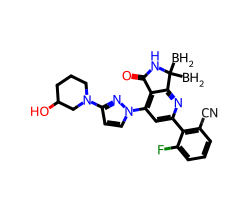 BC1(B)NC(=O)c2c(-n3ccc(N4CCCC(O)C4)n3)cc(-c3c(F)cccc3C#N)nc21